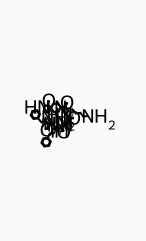 CC(C)C[C@@H](NC(=O)[C@@H](CCc1ccccc1)NC(=O)[C@H](N)Cc1ccccc1)C(=O)N[C@H](CCCCN)C(=O)N1CCC2(CCNC2=O)CC1